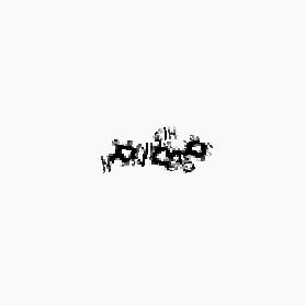 Cl.N#Cc1ccc2[nH]c([C@H]3CC[C@]4(CC3)CN(c3ccccc3)C(=O)O4)nc2c1